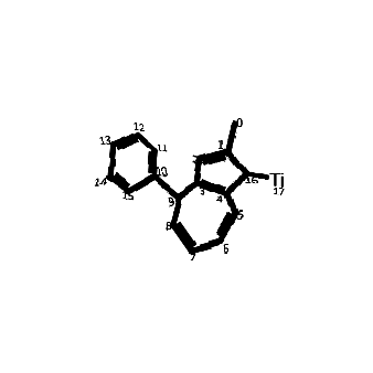 CC1=CC2=C(C=CC=CC2c2ccccc2)[CH]1[Ti]